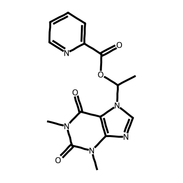 CC(OC(=O)c1ccccn1)n1cnc2c1c(=O)n(C)c(=O)n2C